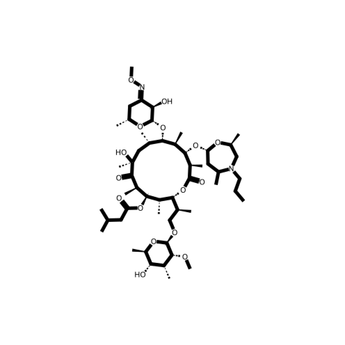 CCCN1C[C@H](C)O[C@@H](O[C@H]2[C@H](C)[C@@H](O[C@@H]3O[C@H](C)C/C(=N\OC)[C@H]3O)[C@@H](C)C[C@](C)(O)C(=O)[C@H](C)[C@H](OC(=O)CC(C)C)[C@@H](C)[C@@H]([C@@H](C)CO[C@@H]3O[C@H](C)[C@@H](O)[C@@H](C)[C@H]3OC)OC(=O)[C@@H]2C)CC1C